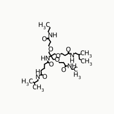 CCCNC(=O)CCOCC(COCCC(=O)NCC)(COCCC(=O)NCC(C)CC)NC(=O)CCCC(=O)NCC(C)C